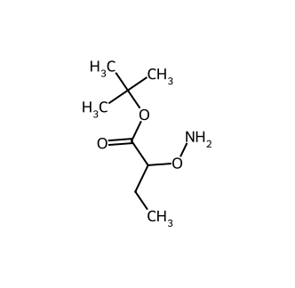 CCC(ON)C(=O)OC(C)(C)C